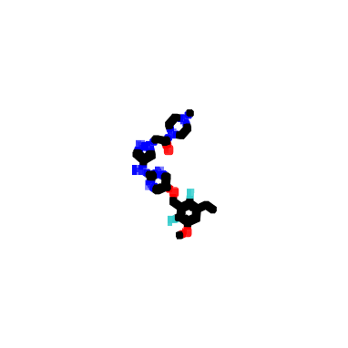 CCc1cc(OC)c(F)c(COc2cnc(Nc3cnn(CC(=O)N4CCN(C)CC4)c3)nc2)c1F